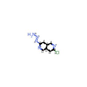 NN=Nc1cc2cnc(Cl)cc2cn1